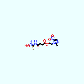 Cc1ncc([N+](=O)[O-])n1CCOC(=O)CCC(=O)NC(=S)NO